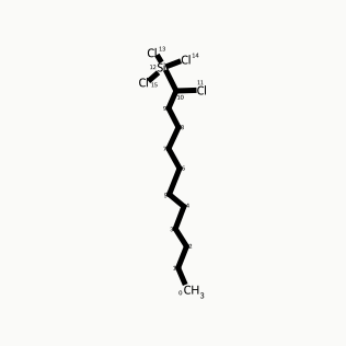 CCCCCCCCCCC(Cl)[Si](Cl)(Cl)Cl